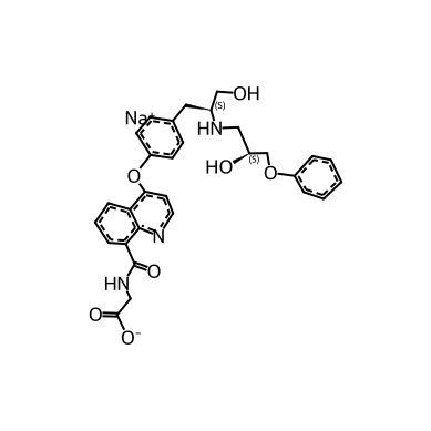 O=C([O-])CNC(=O)c1cccc2c(Oc3ccc(C[C@@H](CO)NC[C@H](O)COc4ccccc4)cc3)ccnc12.[Na+]